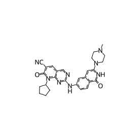 CN1CCN(c2cc3cc(Nc4ncc5cc(C#N)c(=O)n(C6CCCC6)c5n4)ccc3c(=O)[nH]2)CC1